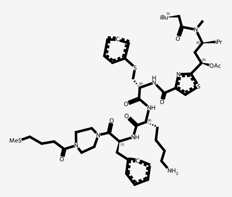 CC[C@H](C)CC(=O)N(C)[C@H](C[C@@H](OC(C)=O)c1nc(C(=O)N[C@@H](CSc2ccccc2)C(=O)N[C@H](CCCCN)C(=O)N[C@@H](Cc2ccccc2)C(=O)N2CCN(C(=O)CCCSC)CC2)cs1)C(C)C